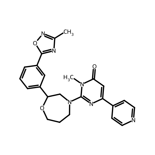 Cc1noc(-c2cccc(C3CN(c4nc(-c5ccncc5)cc(=O)n4C)CCCO3)c2)n1